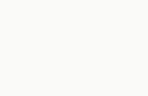 NS(=O)(=O)c1c(C2CCCCC2)n(S(=O)(=O)c2ccccc2)c2cccc(C(F)(F)F)c12